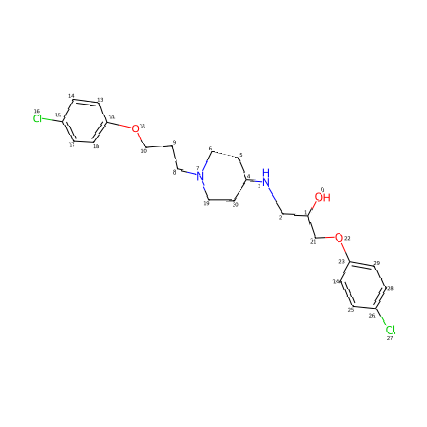 OC(CNC1CCN(CCCOc2ccc(Cl)cc2)CC1)COc1ccc(Cl)cc1